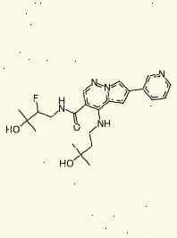 CC(C)(O)CCNc1c(C(=O)NCC(F)C(C)(C)O)cnn2cc(-c3cccnc3)cc12